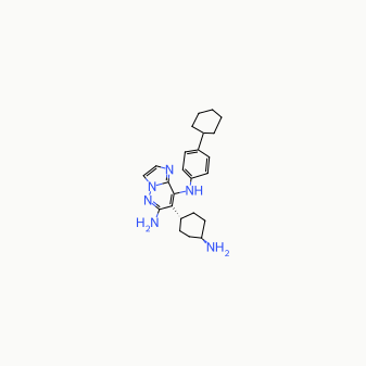 Nc1nn2ccnc2c(Nc2ccc(C3CCCCC3)cc2)c1[C@H]1CC[C@H](N)CC1